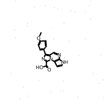 COc1ccc(-c2nc(C(=O)O)n3c2cnc2[nH]ccc23)cc1